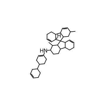 CC1C=CC2C3CCC=C[C@H]3C3(C4C=CCCC4C4CCC(NC5=CCC(C6CC=CCC6)CC5)C(C)C43)C2C1